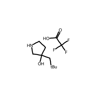 CC(C)(C)CC1(O)CCNC1.O=C(O)C(F)(F)F